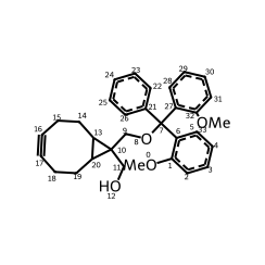 COc1ccccc1C(OCC1(CO)C2CCC#CCCC21)(c1ccccc1)c1ccccc1OC